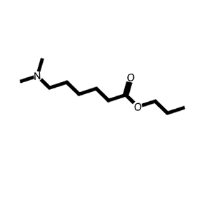 CCCOC(=O)CCCCCN(C)C